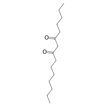 CCCCCCCC(=O)CC(=O)CCCCC